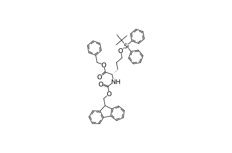 CC(C)(C)[Si](OCCC[C@H](NC(=O)OCC1c2ccccc2-c2ccccc21)C(=O)OCc1ccccc1)(c1ccccc1)c1ccccc1